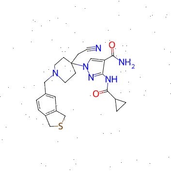 N#CCC1(n2cc(C(N)=O)c(NC(=O)C3CC3)n2)CCN(Cc2ccc3c(c2)CSC3)CC1